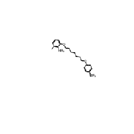 Cc1cccc(OCCCCCCCOc2ccc(N)cc2)c1N